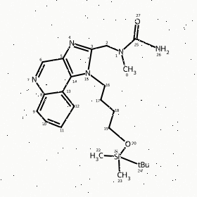 CN(Cc1nc2cnc3ccccc3c2n1CCCCO[Si](C)(C)C(C)(C)C)C(N)=O